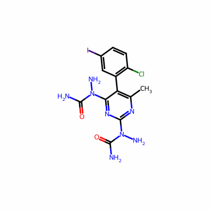 Cc1nc(N(N)C(N)=O)nc(N(N)C(N)=O)c1-c1cc(I)ccc1Cl